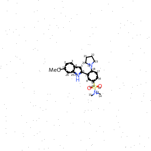 COc1ccc2cc(-c3cc(S(=O)(=O)N(C)C)ccc3N3CCCC3)[nH]c2c1